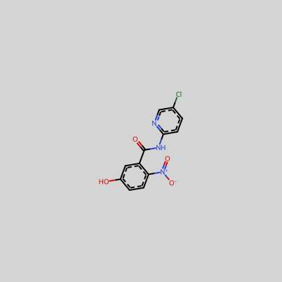 O=C(Nc1ccc(Cl)cn1)c1cc(O)ccc1[N+](=O)[O-]